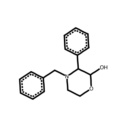 OC1OCCN(Cc2ccccc2)C1c1ccccc1